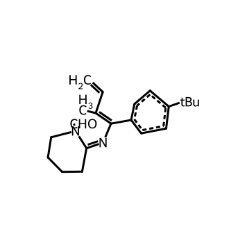 C=C/C(C)=C(/N=C1/CCCCN1C=O)c1ccc(C(C)(C)C)cc1